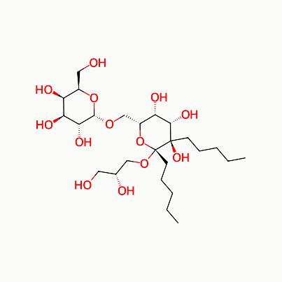 CCCCC[C@@]1(OC[C@H](O)CO)O[C@H](CO[C@H]2O[C@H](CO)[C@H](O)[C@H](O)[C@H]2O)[C@H](O)[C@H](O)[C@]1(O)CCCCC